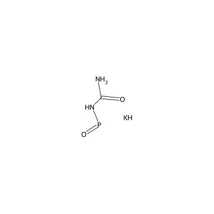 NC(=O)NP=O.[KH]